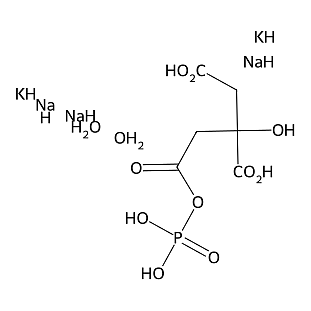 O.O.O=C(O)CC(O)(CC(=O)OP(=O)(O)O)C(=O)O.[KH].[KH].[NaH].[NaH].[NaH]